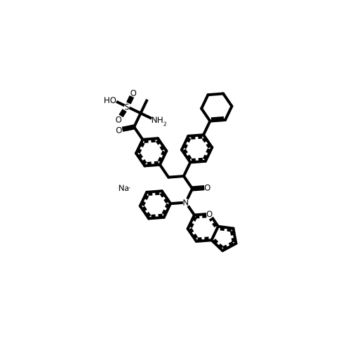 CC(N)(C(=O)c1ccc(CC(C(=O)N(c2ccccc2)c2ccc3cccc-3o2)c2ccc(C3=CCCCC3)cc2)cc1)S(=O)(=O)O.[Na]